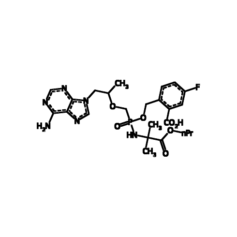 CCCOC(=O)C(C)(C)NP(=O)(COC(C)Cn1cnc2c(N)ncnc21)OCc1ccc(F)cc1C(=O)O